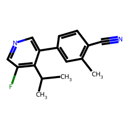 Cc1cc(-c2cncc(F)c2C(C)C)ccc1C#N